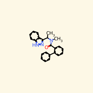 CC(c1n[nH]c2ccccc12)N(C)C(=O)c1ccccc1-c1ccccc1